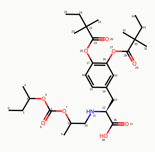 CCC(C)OC(=O)OC(C)CN[C@@H](Cc1ccc(OC(=O)C(C)(C)CC)c(OC(=O)C(C)(C)CC)c1)C(=O)O